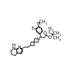 COc1ccc(C(CC(=O)OC(C)(C)C)N2CC3(CC(CCc4ccc5c(n4)NCCC5)C3)C2)cc1F